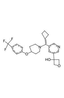 OC1(c2cncc(C(=C3CCC3)N3CCC(Oc4ccc(C(F)(F)F)cc4)CC3)c2)COC1